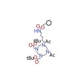 CC(=O)CN1CCN(CC(=O)OC(C)(C)C)CCN(CC(=O)OC(C)(C)C)CCN(C(CCCCNC(=O)OCc2ccccc2)C(C)=O)CC1